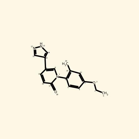 CCOc1ccc(-n2cc(-c3cn[nH]c3)ccc2=O)c(C)c1